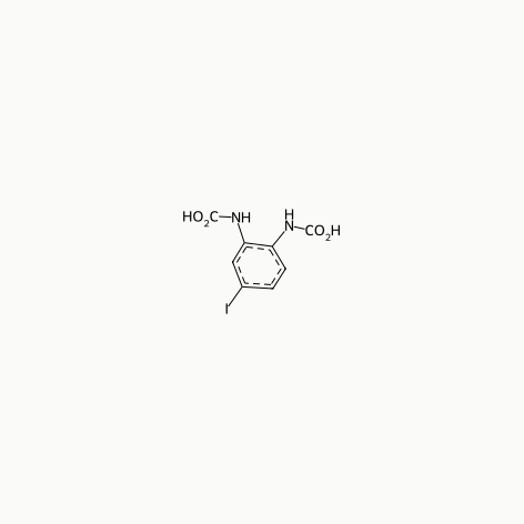 O=C(O)Nc1ccc(I)cc1NC(=O)O